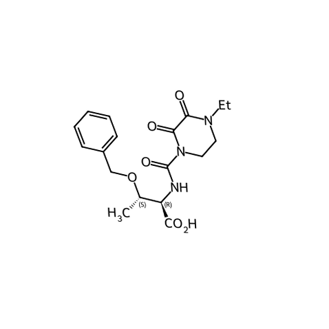 CCN1CCN(C(=O)N[C@@H](C(=O)O)[C@H](C)OCc2ccccc2)C(=O)C1=O